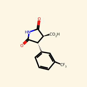 O=C(O)[C@@H]1C(=O)NC(=O)[C@H]1c1cccc(C(F)(F)F)c1